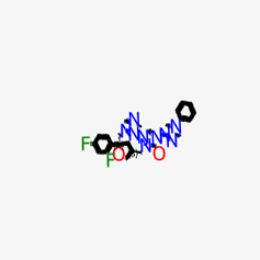 O=c1n(N2CN(c3ccccc3)C=N2)cnn1C[C@H]1CO[C@@](Cn2cncn2)(c2ccc(F)cc2F)C1